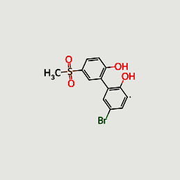 CS(=O)(=O)c1ccc(O)c(-c2cc(Br)c[c]c2O)c1